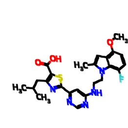 COc1ccc(F)c2c1cc(C)n2CCNc1cc(-c2nc(CC(C)C)c(C(=O)O)s2)ncn1